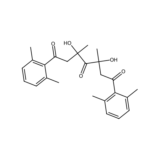 Cc1cccc(C)c1C(=O)CC(C)(O)C(=O)C(C)(O)CC(=O)c1c(C)cccc1C